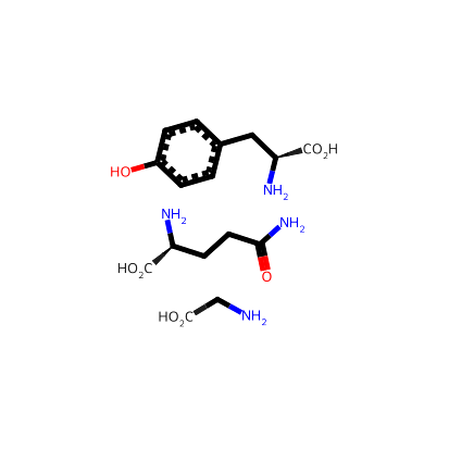 NC(=O)CC[C@H](N)C(=O)O.NCC(=O)O.N[C@@H](Cc1ccc(O)cc1)C(=O)O